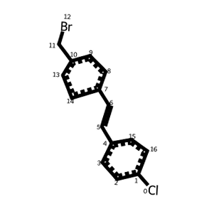 Clc1ccc(/C=C/c2ccc(CBr)cc2)cc1